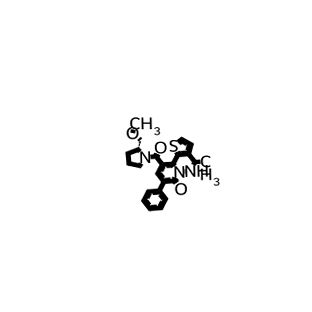 COC[C@H]1CCCN1C(=O)c1cc(-c2ccccc2)c(=O)n2c1-c1sccc1C(C)N2